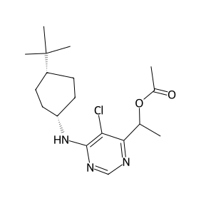 CC(=O)OC(C)c1ncnc(N[C@H]2CC[C@@H](C(C)(C)C)CC2)c1Cl